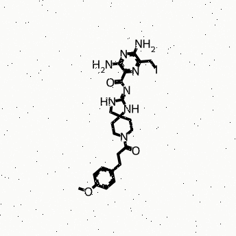 COc1ccc(CCC(=O)N2CCC3(CC2)CN/C(=N\C(=O)c2nc(CI)c(N)nc2N)N3)cc1